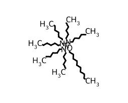 CCCCCCCCCC[O][Ti]([N](CCCCCC)CCCCCC)([N](CCCCCC)CCCCCC)[N](CCCCCC)CCCCCC